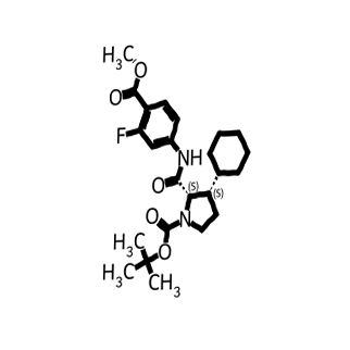 COC(=O)c1ccc(NC(=O)[C@@H]2[C@H](C3CCCCC3)CCN2C(=O)OC(C)(C)C)cc1F